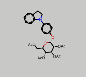 CC(=O)OC[C@H]1O[C@H](Oc2ccc(N3CCc4ccccc43)cc2)[C@@H](OC(C)=O)[C@@H](OC(C)=O)[C@@H]1OC(C)=O